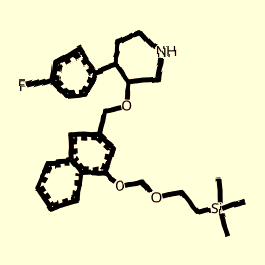 C[Si](C)(C)CCOCOc1cc(COC2CNCCC2c2ccc(F)cc2)cc2ccccc12